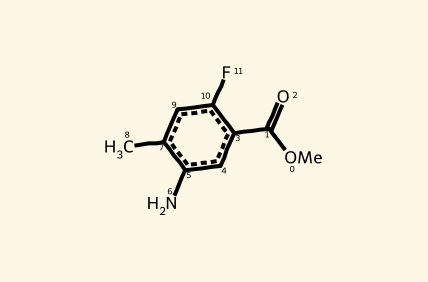 COC(=O)c1cc(N)c(C)cc1F